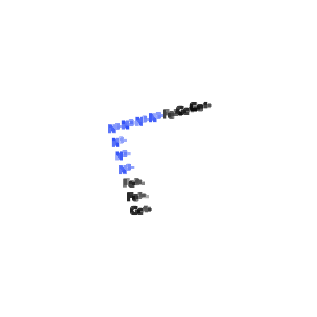 [Fe+3].[Fe+3].[Fe+3].[Ge+4].[Ge+4].[Ge+4].[N-3].[N-3].[N-3].[N-3].[N-3].[N-3].[N-3]